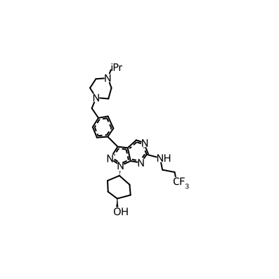 CC(C)N1CCN(Cc2ccc(-c3nn([C@H]4CC[C@H](O)CC4)c4nc(NCCC(F)(F)F)ncc34)cc2)CC1